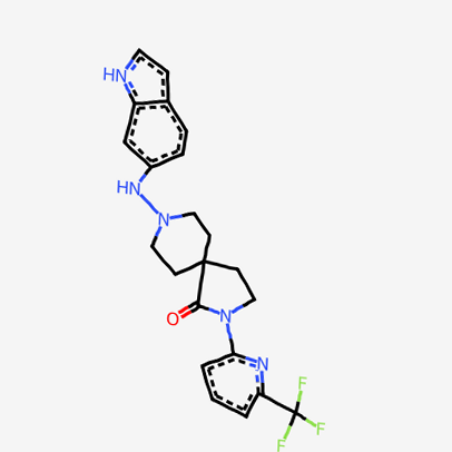 O=C1N(c2cccc(C(F)(F)F)n2)CCC12CCN(Nc1ccc3cc[nH]c3c1)CC2